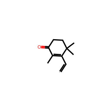 [CH]=CC1=C(C)C(=O)CCC1(C)C